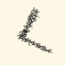 CC(CN)C(=O)O.CCC(C)(N)C(=O)O.CCC(N)C(=O)O.CN[C@@H](C)C(=O)O.CN[C@@H](CC(=O)O)C(=O)O.CN[C@@H](CC(N)=O)C(=O)O.CN[C@@H](CCC(=O)O)C(=O)O.CN[C@@H](CCC(N)=O)C(=O)O.CN[C@@H](CCCNC(=N)N)C(=O)O.CN[C@@H](CS)C(=O)O.C[C@H](NC1CCCC1)C(=O)O.C[C@H](NC1CCCCC1)C(=O)O.NC1(C(=O)O)CC1.NC1(C(=O)O)CC2CCC1C2